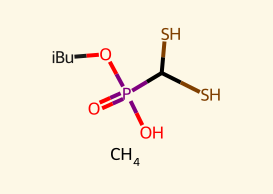 C.CCC(C)OP(=O)(O)C(S)S